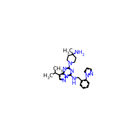 CC(C)c1cnn2c(NCc3ccccc3-n3cccn3)nc(N3CCC(C)(N)CC3)nc12